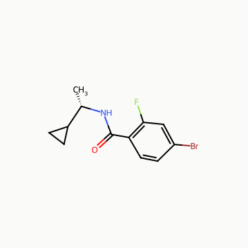 C[C@H](NC(=O)c1ccc(Br)cc1F)C1CC1